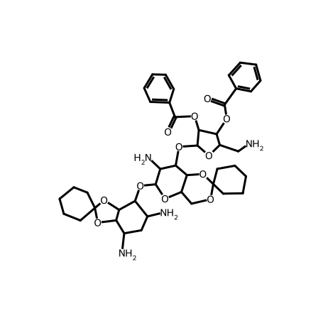 NCC1OC(OC2C(N)C(OC3C(N)CC(N)C4OC5(CCCCC5)OC34)OC3COC4(CCCCC4)OC32)C(OC(=O)c2ccccc2)C1OC(=O)c1ccccc1